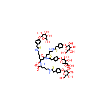 O=C(NC(CCCCNC(=S)Cc1ccc(OC2OC(CO)C(O)C(O)C2O)cc1)C(=O)O)C(CCCCNC(=S)Cc1ccc(OC2OC(CO)C(O)C(O)C2O)cc1)CC(=O)C(CCCCNC(=S)Cc1ccc(OC2OC(CO)C(O)C(O)C2O)cc1)NC(=S)Cc1ccc(OC2OCC(O)(CCO)C(O)C2O)cc1